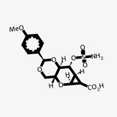 COc1ccc([C@@H]2OC[C@H]3O[C@@H]4C(C(=O)O)[C@@H]4[C@@H](OS(N)(=O)=O)[C@@H]3O2)cc1